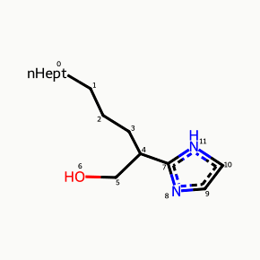 CCCCCCCCCCC(CO)c1ncc[nH]1